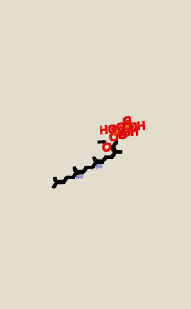 CCOC(COP(=O)(O)OP(=O)(O)O)=C(C)CC/C=C(\C)CC/C=C(\C)CCC=C(C)C